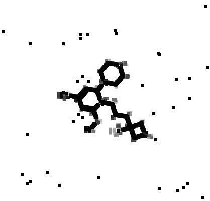 CCSC1=CC(C)=CC(N2CCOCC2)N1CCCC1(C)COC1